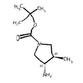 C[C@@H]1CN(C(=O)OC(C)(C)C)C[C@H]1N